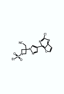 CCS(=O)(=O)N1CC(CC#N)(n2cc(-c3nc(Cl)nc4ccoc34)cn2)C1